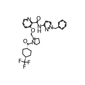 O=C(Nc1ccn(Cc2ccccc2)n1)c1ncccc1OC[C@H]1CCCN1C(=O)[C@H]1CC[C@H](C(F)(F)F)CC1